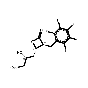 CCCCCCCCCCC[C@H](O)C[C@@H]1OC(=O)[C@H]1Cc1c(F)c(F)c(F)c(F)c1F